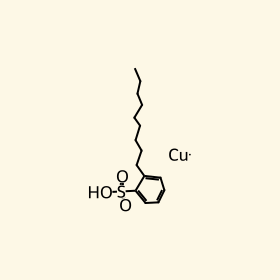 CCCCCCCCCc1ccccc1S(=O)(=O)O.[Cu]